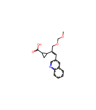 COCOC/C(=C/c1cnc2ccccc2c1)C1CC1C(=O)O